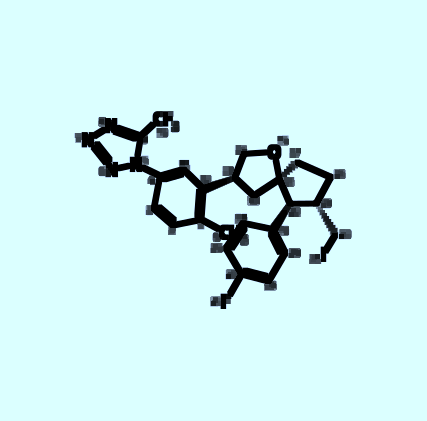 Cc1ccc(-n2nnnc2C(F)(F)F)cc1[C@H]1CO[C@]2(CC[C@H](CI)[C@H]2c2ccc(F)cc2)C1